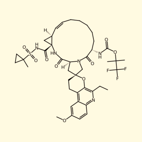 CCc1nc2ccc(OC)cc2c2c1O[C@]1(CC2)C[C@H]2C(=O)N[C@]3(C(=O)NS(=O)(=O)C4(C)CC4)C[C@H]3/C=C\CCCCC[C@H](NC(=O)OC(C)(C)C(F)(F)F)C(=O)N2C1